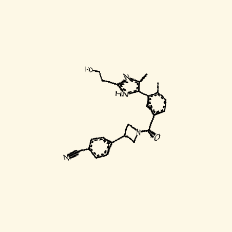 Cc1ccc(C(=O)N2CC(c3ccc(C#N)cc3)C2)cc1-c1[nH]c(CCO)nc1C